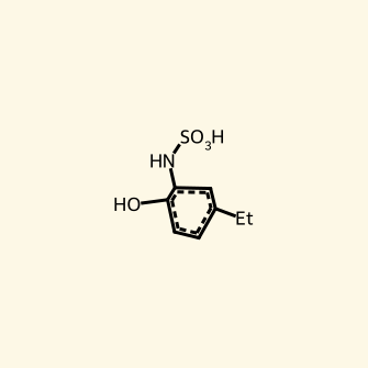 CCc1ccc(O)c(NS(=O)(=O)O)c1